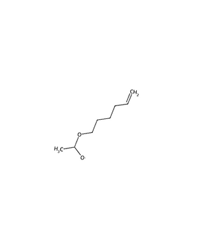 C=CCCCCOC(C)[O]